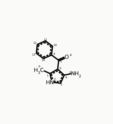 Cc1[nH]cc(N)c1C(=O)c1ccccc1